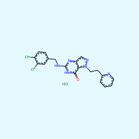 Cl.O=c1[nH]c(NCc2ccc(Cl)c(Cl)c2)nc2cnn(CCc3ccccn3)c12